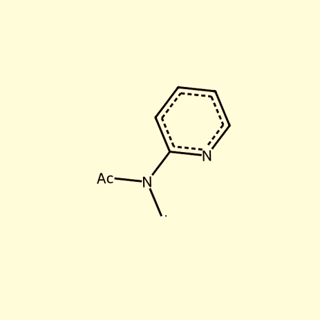 [CH2]N(C(C)=O)c1ccccn1